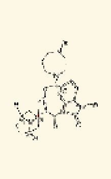 CC(=O)N1CCCN(C(=O)OCCCN2[C@@H]3CC[C@H]2C[C@@H](NC(=O)n2c(=O)n(C(C)C)c4ccccc42)C3)CC1